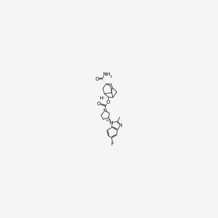 Cc1nc2cc(F)ccc2n1[C@H]1CCN(C(=O)O[C@H]2C3CC4CC2C[C@](C(N)=O)(C4)C3)C1